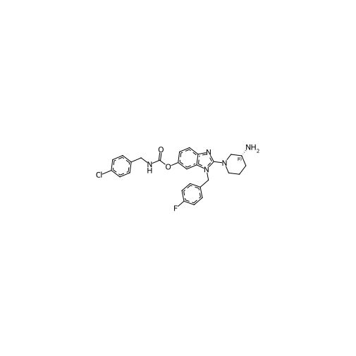 N[C@@H]1CCCN(c2nc3ccc(OC(=O)NCc4ccc(Cl)cc4)cc3n2Cc2ccc(F)cc2)C1